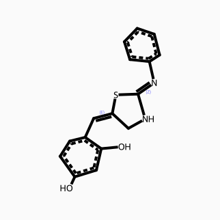 Oc1ccc(/C=C2\CN/C(=N/c3ccccc3)S2)c(O)c1